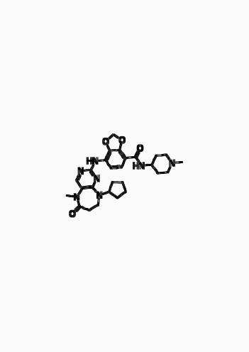 CN1CCC(NC(=O)c2ccc(Nc3ncc4c(n3)N(C3CCCC3)CCC(=O)N4C)c3c2OCO3)CC1